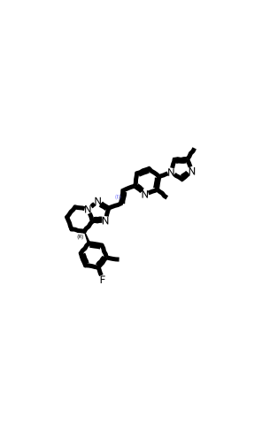 Cc1cn(-c2ccc(/C=C/c3nc4n(n3)CCC[C@@H]4c3ccc(F)c(C)c3)nc2C)cn1